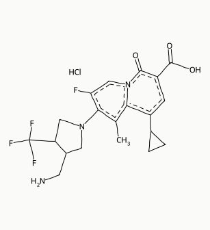 Cc1c(N2CC(CN)C(C(F)(F)F)C2)c(F)cn2c(=O)c(C(=O)O)cc(C3CC3)c12.Cl